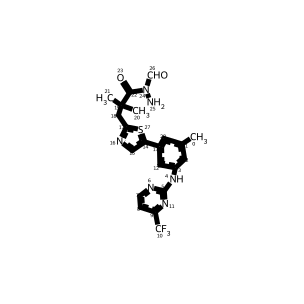 Cc1cc(Nc2nccc(C(F)(F)F)n2)cc(-c2cnc(CC(C)(C)C(=O)N(N)C=O)s2)c1